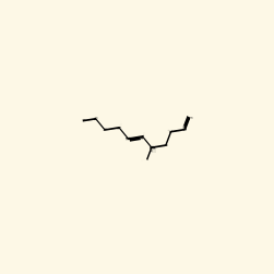 [CH]=CCCC(C)C=CCCCC